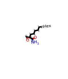 CCCCCCCCCCCC1(C(N)=O)CO1